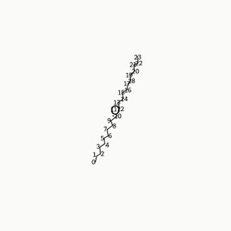 CCCCCCCCCC[CH]OCCCCCCCCCCCC